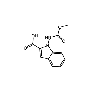 COC(=O)Nn1c(C(=O)O)cc2ccccc21